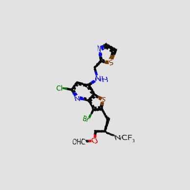 O=COCC(Cc1sc2c(NCc3nccs3)cc(Cl)nc2c1Br)NC(F)(F)F